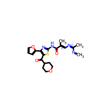 C=N/C(C)=N\C=C(/C)C(=O)Nc1nc(-c2ccco2)c(C(=O)C2CCOCC2)s1